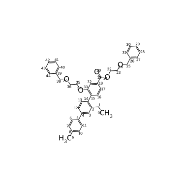 CCc1cc(-c2ccc(C)cc2)ccc1-c1ccc(C(=O)OCCOCc2ccccc2)cc1OCCOCc1ccccc1